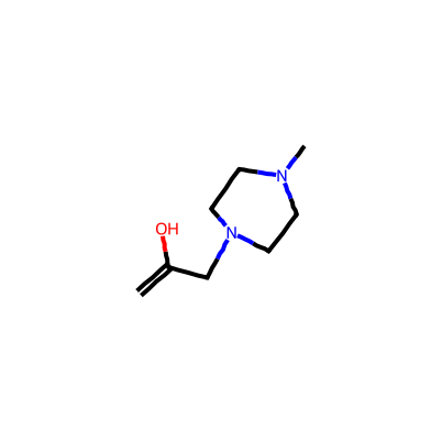 C=C(O)CN1CCN(C)CC1